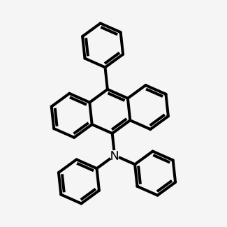 c1ccc(-c2c3ccccc3c(N(c3ccccc3)c3ccccc3)c3ccccc23)cc1